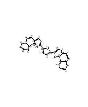 c1cnc2c(c1)ccc1ccc(-c3nnc(-c4ccc5ccc6cccnc6c5n4)o3)nc12